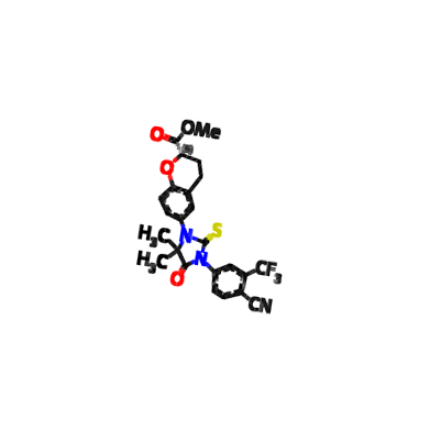 COC(=O)[C@@H]1CCc2cc(N3C(=S)N(c4ccc(C#N)c(C(F)(F)F)c4)C(=O)C3(C)C)ccc2O1